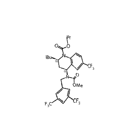 CCC(C)[C@@H]1C[C@H](N(Cc2cc(C(F)(F)F)cc(C(F)(F)F)c2)C(=O)OC)c2cc(C(F)(F)F)ccc2N1C(=O)OC(C)C